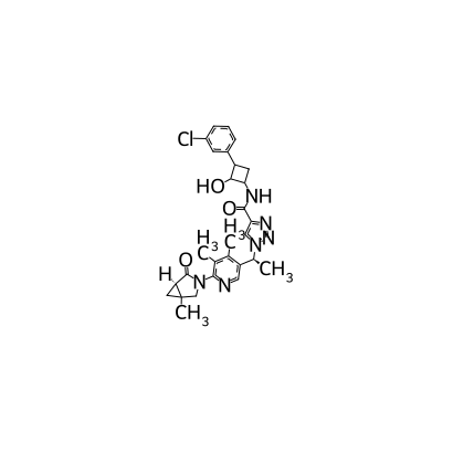 Cc1c([C@H](C)n2cc(C(=O)NC3CC(c4cccc(Cl)c4)C3O)nn2)cnc(N2CC3(C)C[C@H]3C2=O)c1C